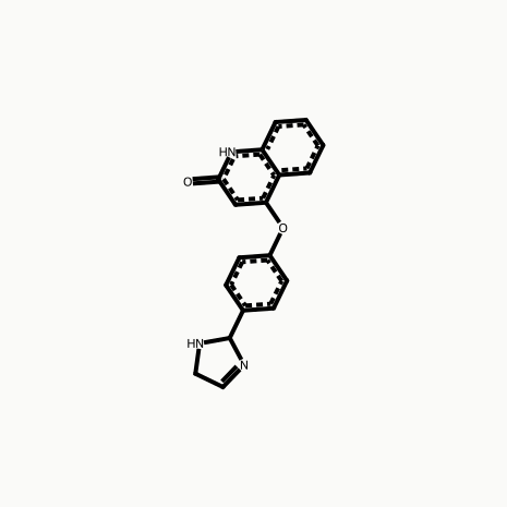 O=c1cc(Oc2ccc(C3N=CCN3)cc2)c2ccccc2[nH]1